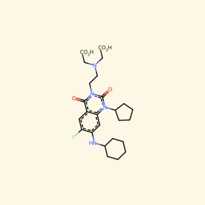 O=C(O)CN(CCn1c(=O)c2cc(F)c(NC3CCCCC3)cc2n(C2CCCC2)c1=O)CC(=O)O